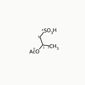 CC(=O)OC(C)[CH]S(=O)(=O)O